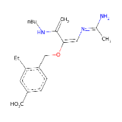 C=C(NCCCC)/C(=C\N=C(/C)N)OCc1ccc(C(=O)O)cc1CC